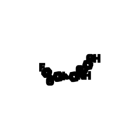 O=C(CC1CCC(O)CC1)N[C@H]1CC[C@H](CCN2CCC(C(=O)c3ccc(F)cc3)CC2)CC1